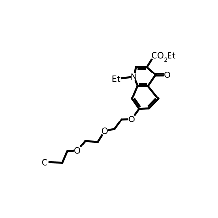 CCOC(=O)c1cn(CC)c2cc(OCCOCCOCCCl)ccc2c1=O